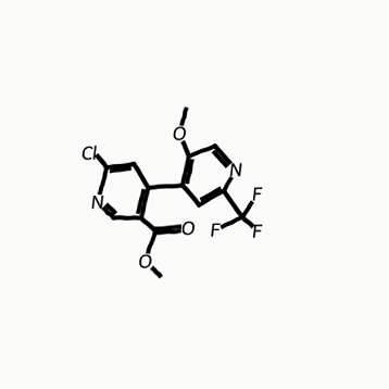 COC(=O)c1cnc(Cl)cc1-c1cc(C(F)(F)F)ncc1OC